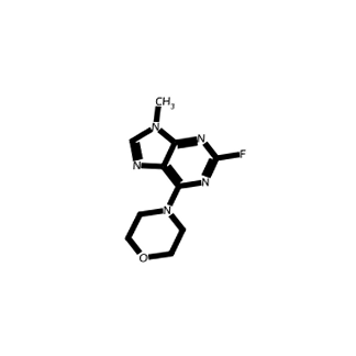 Cn1cnc2c(N3CCOCC3)nc(F)nc21